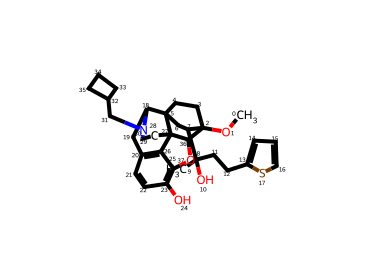 COC12CCC3(CC1C(C)(O)CCc1cccs1)C1Cc4ccc(O)c5c4C3(CCN1CC1CCC1)C2O5